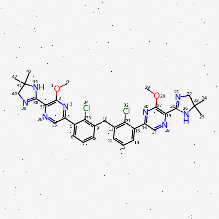 COc1nc(-c2cccc(Cc3cccc(-c4cnc(C5=NCC(C)(C)N5)c(OC)n4)c3Cl)c2Cl)cnc1C1=NCC(C)(C)N1